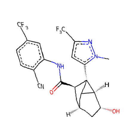 Cn1nc(C(F)(F)F)cc1[C@@]12C3[C@@H](C[C@@H](O)[C@@H]31)[C@H]2C(=O)Nc1cc(C(F)(F)F)ccc1C#N